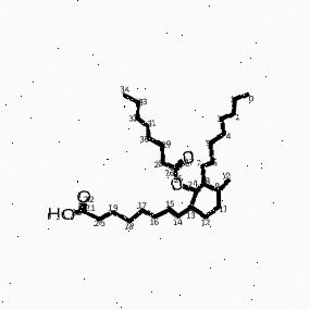 CCCCCCCCC1C(C)CCC(CCCCCCCC(=O)O)C1OC(=O)CCCCCCC